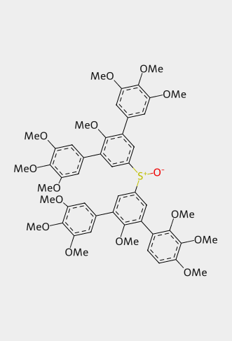 COc1cc(-c2cc([S+]([O-])c3cc(-c4cc(OC)c(OC)c(OC)c4)c(OC)c(-c4ccc(OC)c(OC)c4OC)c3)cc(-c3cc(OC)c(OC)c(OC)c3)c2OC)cc(OC)c1OC